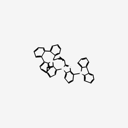 c1ccc2c(c1)-c1ccccc1[Si]1(c3ccccc3-2)c2ccccc2-c2nc3c(-n4c5ccccc5c5ccccc54)cccc3n2-c2ccccc21